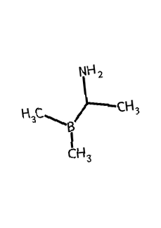 CB(C)C(C)N